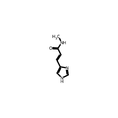 CNC(=O)C=Cc1c[nH]cn1